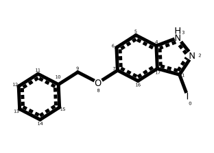 Ic1n[nH]c2ccc(OCc3ccccc3)cc12